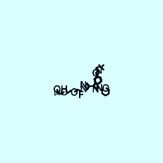 C[C@H](O)COCCOCC(F)n1cc(-c2nn(C3CCCCO3)c3ccc(O[Si](C)(C)C(C)(C)C)cc23)cn1